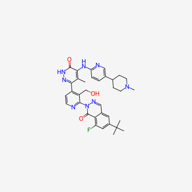 Cc1c(-c2ccnc(-n3ncc4cc(C(C)(C)C)cc(F)c4c3=O)c2CO)n[nH]c(=O)c1Nc1ccc(C2CCN(C)CC2)cn1